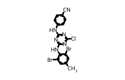 Cc1cc(Br)c(Nc2nc(Cl)nc(Nc3ccc(C#N)cc3)n2)c(Br)c1